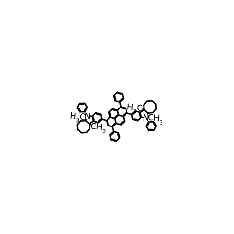 CC12CCCCCCC1(C)N(c1ccccc1)c1ccc(-c3cc(-c4ccccc4)c4ccc5c(-c6ccc7c(c6)C6(C)CCCCCCC6(C)N7c6ccccc6)cc(-c6ccccc6)c6ccc3c4c65)cc12